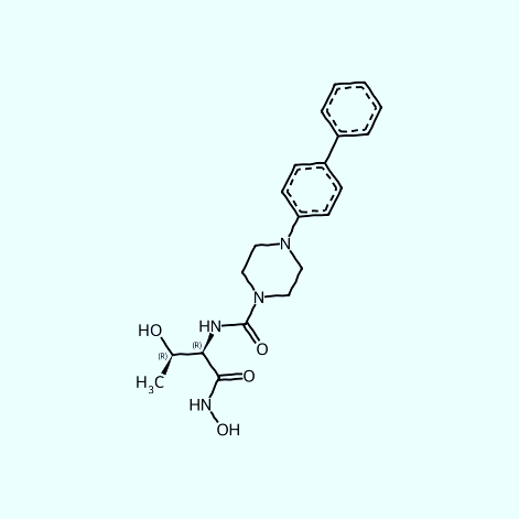 C[C@@H](O)[C@@H](NC(=O)N1CCN(c2ccc(-c3ccccc3)cc2)CC1)C(=O)NO